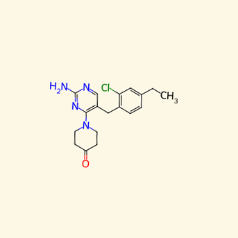 CCc1ccc(Cc2cnc(N)nc2N2CCC(=O)CC2)c(Cl)c1